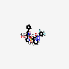 Cc1c(S(=O)(=O)N2C(C)CCC2CC(C)(O)c2cc(-c3ccccc3)on2)c2n(c1C(=O)Nc1cc(F)c(F)c(F)c1)CCCCC2